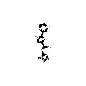 O=C(Nc1nnn[nH]1)c1csc(-c2cnccn2)n1